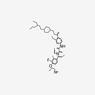 C=NCC(C)Oc1ccc(/C(=C/C)N(/C=C\C)C(=C)C(=C)Nc2ccc(C(=C)CCC3CCC(CCC(CC)CCC)CC3)c(CC)c2)c(C)c1F